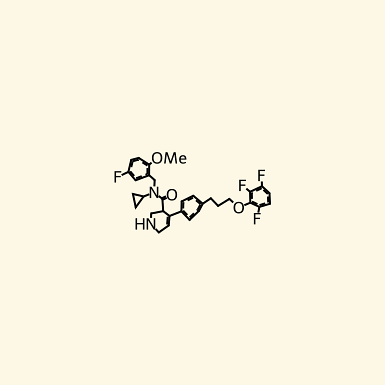 COc1ccc(F)cc1CN(C(=O)C1CNCC=C1c1ccc(CCCOc2c(F)ccc(F)c2F)cc1)C1CC1